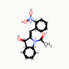 CC(=O)N1/C(=C\c2ccccc2[N+](=O)[O-])C(=O)c2ccccc21